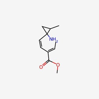 C/C=C(\C=C/C1(N)CC1C)C(=O)OC